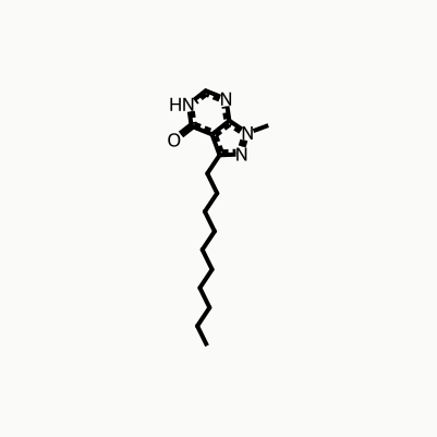 CCCCCCCCCCc1nn(C)c2nc[nH]c(=O)c12